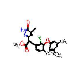 Cc1cc(C(C(=O)OC(C)(C)C)c2ccc([N+](=O)[O-])c(Oc3cc(C#N)cc(C#N)c3)c2F)n[nH]c1=O